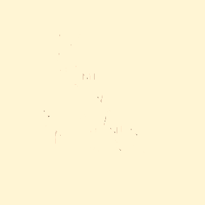 CC(C)(C)OC(=O)N[C@@H](Cc1c[nH]cn1)C(=O)N1CCC[C@H]1C(=O)N[C@@H](Cc1ccccn1)c1ccccc1